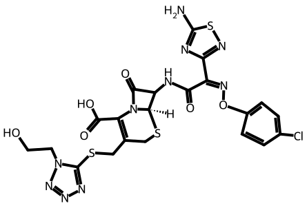 Nc1nc(/C(=N/Oc2ccc(Cl)cc2)C(=O)NC2C(=O)N3C(C(=O)O)=C(CSc4nnnn4CCO)CS[C@H]23)ns1